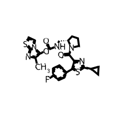 Cc1nc2sccn2c1OC(=O)NC[C@@H]1CCCN1C(=O)c1nc(C2CC2)sc1-c1ccc(F)cc1